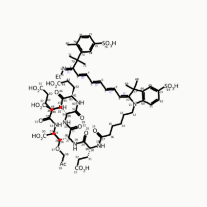 CC\N=C(/C=C/C=C/C=C/C=C1/N(CCCCCC(=O)N[C@H](CCC(=O)O)C(=O)N[C@H](CCC(=O)O)C(=O)N[C@H](CCC(=O)O)C(=O)N[C@H](CCC(=O)O)C(=O)N[C@H](CCC(=O)O)C(=O)NCCOCC(C)=O)c2ccc(S(=O)(=O)O)cc2C1(C)C)C(C)(C)c1cc(S(=O)(=O)O)ccc1C